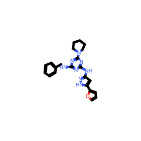 c1ccc(CNc2nc(Nc3cc(-c4ccco4)[nH]n3)nc(N3CCCCC3)n2)cc1